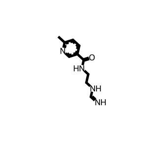 Cc1ccc(C(=O)NCCNC=N)cn1